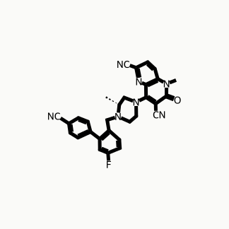 C[C@@H]1CN(c2c(C#N)c(=O)n(C)c3ccc(C#N)nc23)CCN1Cc1ccc(F)cc1-c1ccc(C#N)cc1